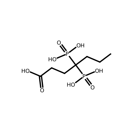 CCCC(CCC(=O)O)(P(=O)(O)O)P(=O)(O)O